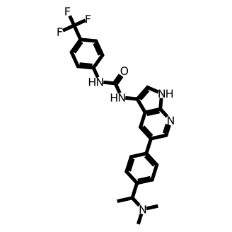 CC(c1ccc(-c2cnc3[nH]cc(NC(=O)Nc4ccc(C(F)(F)F)cc4)c3c2)cc1)N(C)C